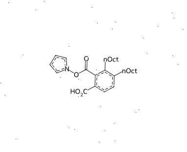 CCCCCCCCc1ccc(C(=O)O)c(C(=O)On2cccc2)c1CCCCCCCC